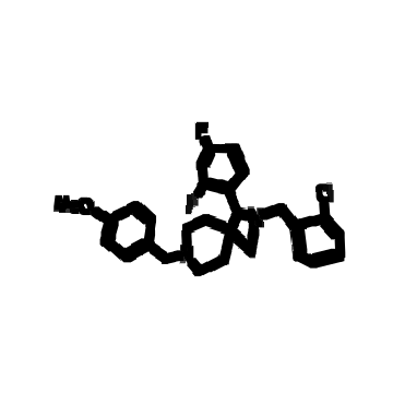 COc1ccc(CN2CCC3(CC2)CN(Cc2ccccc2Cl)C3c2ccc(F)cc2F)cc1